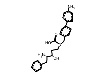 Cc1ccc(-c2ccc(CN(CC[C@H](O)[C@@H](N)Cc3ccccc3)C(=O)O)cc2)nc1